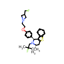 C[C@H]1Cc2sc3ccccc3c2[C@H](c2ccc(OCCN3CC(CF)C3)cc2)N1CC(C)(C)F